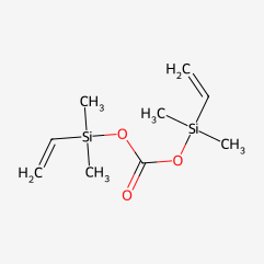 C=C[Si](C)(C)OC(=O)O[Si](C)(C)C=C